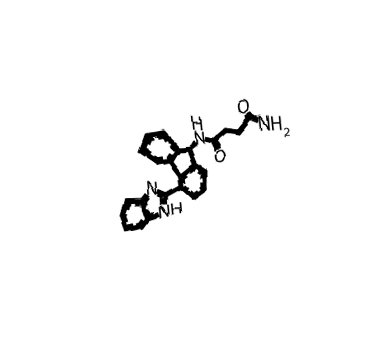 NC(=O)CCC(=O)NC1c2ccccc2-c2c(-c3nc4ccccc4[nH]3)cccc21